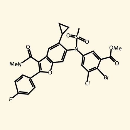 CNC(=O)c1c(-c2ccc(F)cc2)oc2cc(N(c3cc(Cl)c(Br)c(C(=O)OC)c3)S(C)(=O)=O)c(C3CC3)cc12